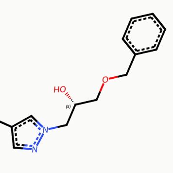 Cc1cnn(C[C@H](O)COCc2ccccc2)c1